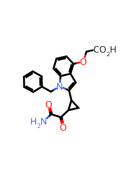 NC(=O)C(=O)C1CC1c1cc2c(OCC(=O)O)cccc2n1Cc1ccccc1